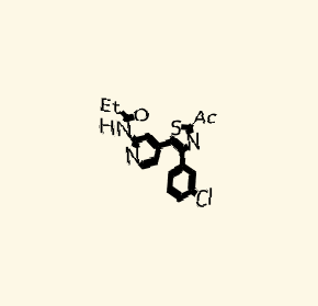 CCC(=O)Nc1cc(-c2sc(C(C)=O)nc2-c2cccc(Cl)c2)ccn1